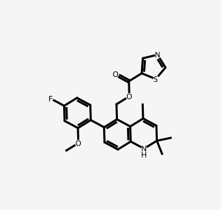 COc1cc(F)ccc1-c1ccc2c(c1COC(=O)c1cncs1)C(C)=CC(C)(C)N2